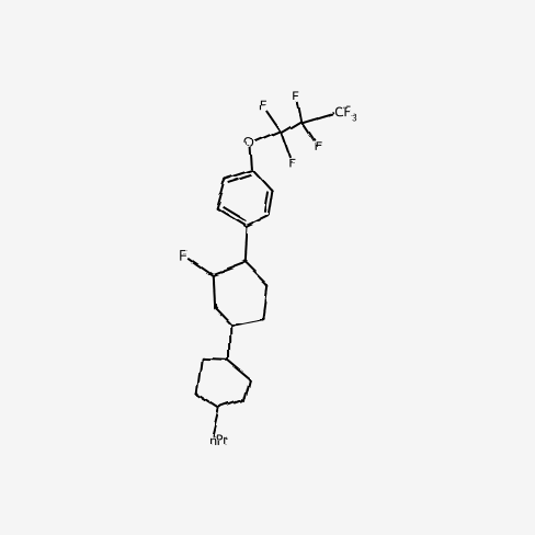 CCCC1CCC(C2CCC(c3ccc(OC(F)(F)C(F)(F)C(F)(F)F)cc3)C(F)C2)CC1